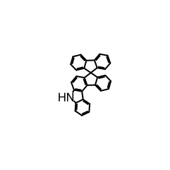 c1ccc2c(c1)-c1ccccc1C21c2ccccc2-c2c1ccc1[nH]c3ccccc3c21